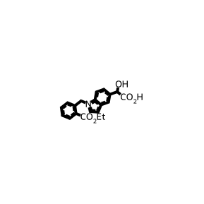 CCOC(=O)c1ccccc1Cn1ccc2cc(C(O)C(=O)O)ccc21